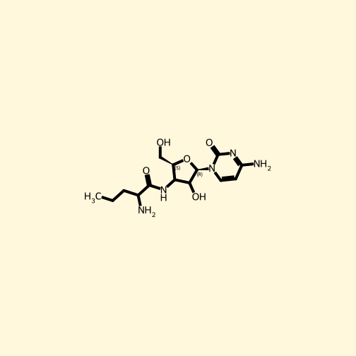 CCCC(N)C(=O)NC1C(O)[C@H](n2ccc(N)nc2=O)O[C@@H]1CO